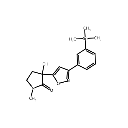 CN1CCC(O)(c2cc(-c3ccc[c]([Sn]([CH3])([CH3])[CH3])c3)no2)C1=O